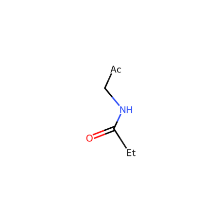 [CH2]CC(=O)NCC(C)=O